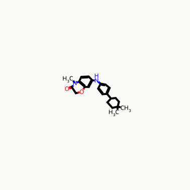 CN1C(=O)COc2cc(Nc3ccc(C4CCC(C)(C)CC4)cc3)ccc21